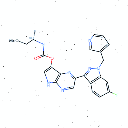 COC[C@H](C)NC(=O)Oc1c[nH]c2ncc(-c3nn(Cc4cccnc4)c4cc(F)ccc34)nc12